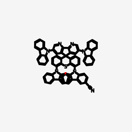 N#Cc1ccc2c(c1)c1ccccc1n2-c1cccc2c1Sc1c(-n3c4ccccc4c4ccccc43)cccc1C21c2cc(-n3c4ccccc4c4ccccc43)cnc2-c2ncc(-n3c4ccccc4c4ccccc43)cc21